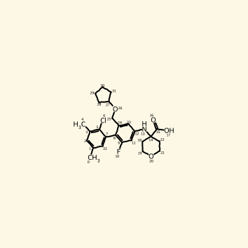 Cc1cc(C)c(Cl)c(-c2c(F)cc(NC3(C(=O)O)CCOCC3)cc2COC2CCCC2)c1